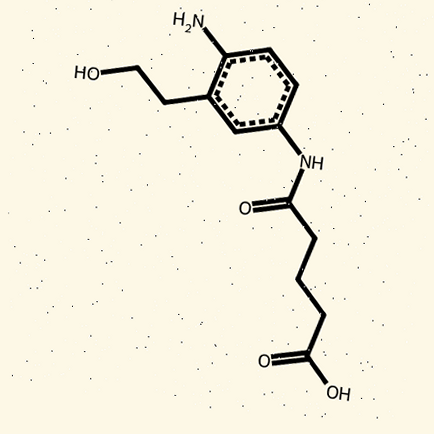 Nc1ccc(NC(=O)CCCC(=O)O)cc1CCO